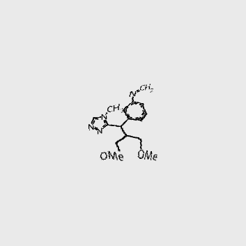 C=Nc1cccc(C(c2nncn2C)C(COC)COC)c1